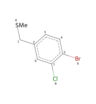 CSCc1ccc(Br)c(Cl)c1